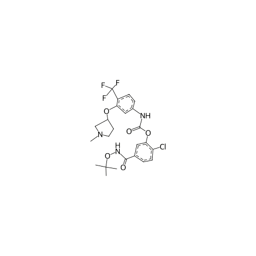 CN1CCC(Oc2cc(NC(=O)Oc3cc(C(=O)NOC(C)(C)C)ccc3Cl)ccc2C(F)(F)F)C1